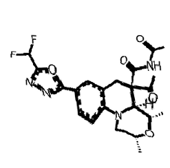 CC(=O)NC(=O)[C@]1(C(C)=O)Cc2cc(-c3nnc(C(F)F)o3)ccc2N2C[C@@H](C)O[C@@H](C)[C@@H]21